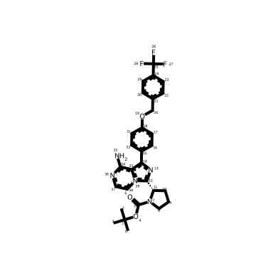 CC(C)(C)OC(=O)N1CCC[C@H]1c1nc(-c2ccc(OCc3ccc(C(F)(F)F)cc3)cc2)c2c(N)nccn12